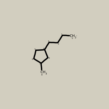 [CH2]CCCC1CCC(C)C1